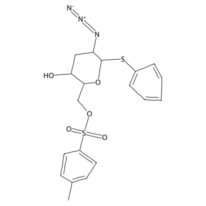 Cc1ccc(S(=O)(=O)OCC2OC(Sc3ccccc3)C(N=[N+]=[N-])CC2O)cc1